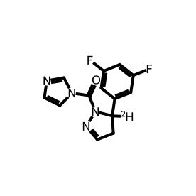 [2H]C1(c2cc(F)cc(F)c2)CC=NN1C(=O)n1ccnc1